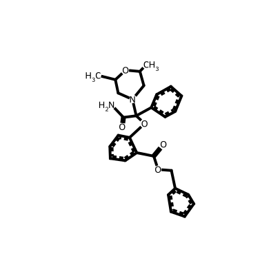 CC1CN(C(Oc2ccccc2C(=O)OCc2ccccc2)(C(N)=O)c2ccccc2)CC(C)O1